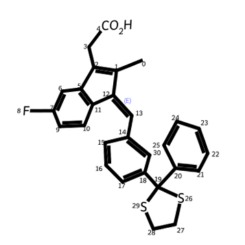 CC1=C(CC(=O)O)c2cc(F)ccc2/C1=C\c1cccc(C2(c3ccccc3)SCCS2)c1